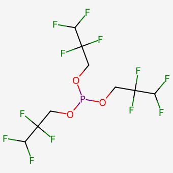 FC(F)C(F)(F)COP(OCC(F)(F)C(F)F)OCC(F)(F)C(F)F